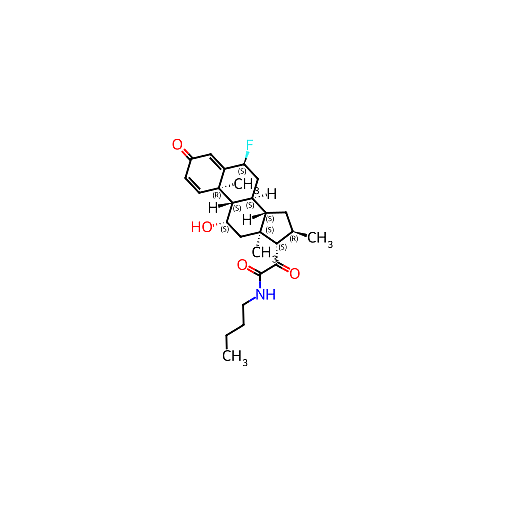 CCCCNC(=O)C(=O)[C@H]1[C@H](C)C[C@H]2[C@@H]3C[C@H](F)C4=CC(=O)C=C[C@]4(C)[C@H]3[C@@H](O)C[C@@]21C